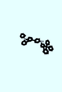 c1ccc(-n2c3ccccc3c3cc(-c4ccc(Nc5ccc6c(c5)C(c5ccccc5)(c5ccccc5)c5ccccc5-6)cc4)ccc32)cc1